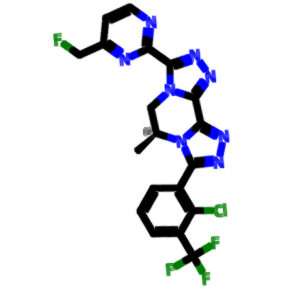 C[C@H]1Cn2c(-c3nccc(CF)n3)nnc2-c2nnc(-c3cccc(C(F)(F)F)c3Cl)n21